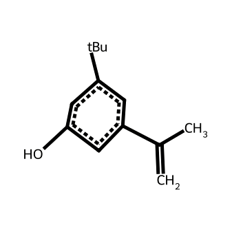 C=C(C)c1cc(O)cc(C(C)(C)C)c1